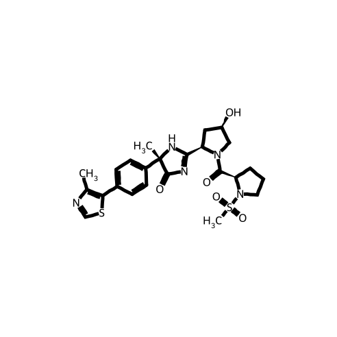 Cc1ncsc1-c1ccc([C@]2(C)NC([C@H]3C[C@@H](O)CN3C(=O)[C@H]3CCCN3S(C)(=O)=O)=NC2=O)cc1